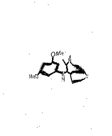 COc1cc(NC2=C(C)N(C)Cc3sccc32)cc(OC)c1